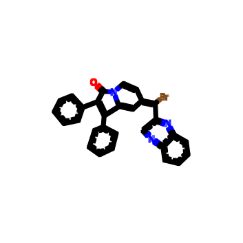 O=C1C(c2ccccc2)=C(c2ccccc2)C2=C/C(=C(/Br)c3cnc4ccccc4n3)C=CN12